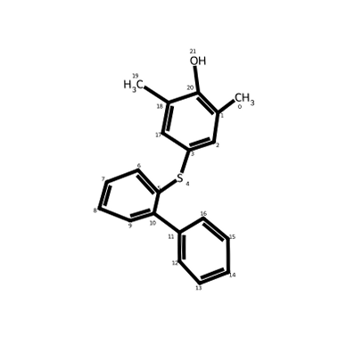 Cc1cc(Sc2ccccc2-c2ccccc2)cc(C)c1O